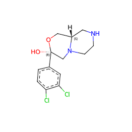 O[C@@]1(c2ccc(Cl)c(Cl)c2)CN2CCNC[C@H]2CO1